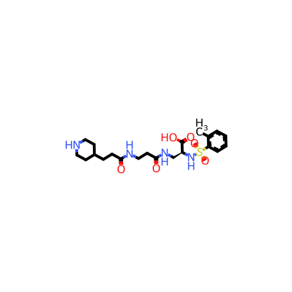 Cc1ccccc1S(=O)(=O)N[C@@H](CNC(=O)CCNC(=O)CCC1CCNCC1)C(=O)O